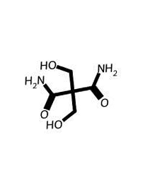 NC(=O)C(CO)(CO)C(N)=O